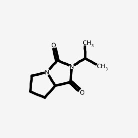 CC(C)N1C(=O)C2CCCN2C1=O